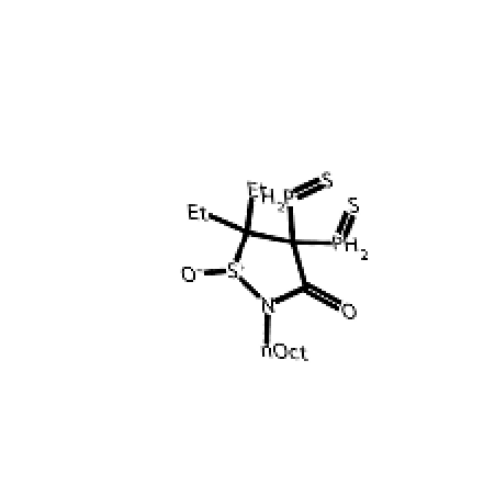 CCCCCCCCN1C(=O)C([PH2]=S)([PH2]=S)C(CC)(CC)[S+]1[O-]